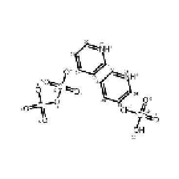 [O]=[Cr](=[O])([O-])[O][Cr](=[O])(=[O])[O-].[O]=[Cr](=[O])([OH])[Cl].c1cc[nH+]cc1.c1cc[nH+]cc1